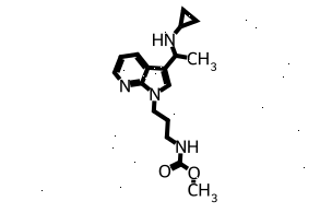 COC(=O)NCCCn1cc(C(C)NC2CC2)c2cccnc21